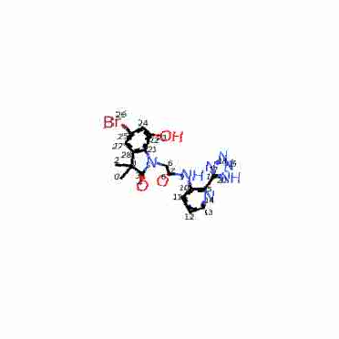 CC1(C)C(=O)N(CC(=O)Nc2cccnc2-c2nnn[nH]2)c2c(O)cc(Br)cc21